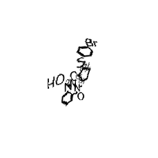 O=C(O)[C@@H]1[C@@H](Cn2nnc3ccccc3c2=O)CC[C@H]1Sc1ccc(Br)cc1